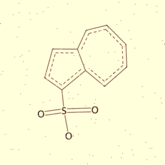 [O]S(=O)(=O)c1ccc2cccccc1-2